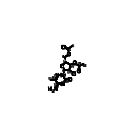 CC(=O)OC[C@H]1O[C@@H](n2nc(C)c(N)nc2=O)[C@H](Cl)[C@@H]1OC(C)=O